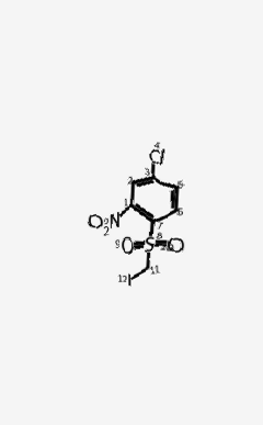 O=[N+]([O-])c1cc(Cl)ccc1S(=O)(=O)CI